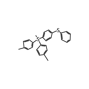 Cc1ccc(S(C)(c2ccc(C)cc2)c2ccc(Sc3ccccc3)cc2)cc1